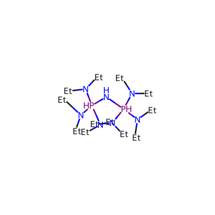 CCN(CC)[PH](N[PH](N(CC)CC)(N(CC)CC)N(CC)CC)(N(CC)CC)N(CC)CC